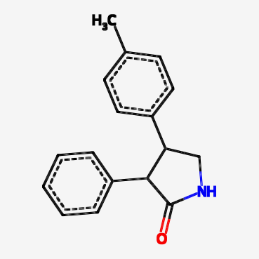 Cc1ccc(C2CNC(=O)C2c2ccccc2)cc1